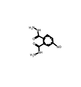 NNC(=O)c1ccc(N=O)cc1C(=O)NN